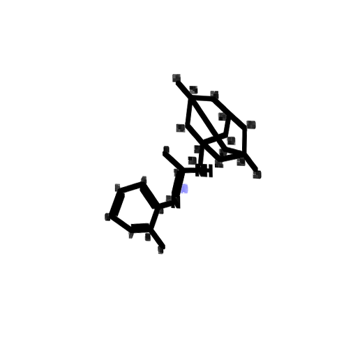 C/C(=N\c1ccccc1C)NC12CC3CC(C)(CC(C)(C3)C1)C2